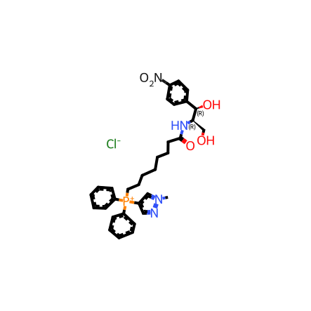 Cn1cc([P+](CCCCCCCC(=O)N[C@H](CO)[C@H](O)c2ccc([N+](=O)[O-])cc2)(c2ccccc2)c2ccccc2)cn1.[Cl-]